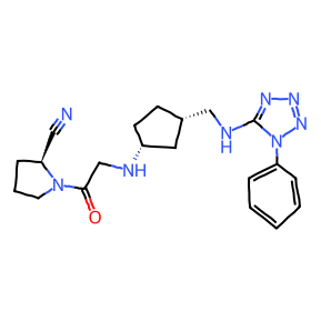 N#C[C@@H]1CCCN1C(=O)CN[C@@H]1CC[C@H](CNc2nnnn2-c2ccccc2)C1